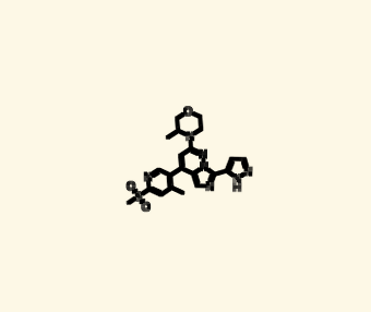 Cc1cc(S(C)(=O)=O)ncc1-c1cc(N2CCOCC2C)nn2c(-c3ccn[nH]3)ncc12